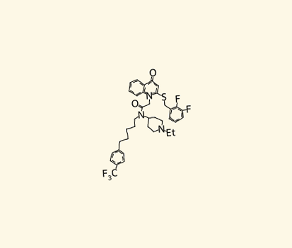 CCN1CCC(N(CCCCCc2ccc(C(F)(F)F)cc2)C(=O)Cn2c(SCc3cccc(F)c3F)cc(=O)c3ccccc32)CC1